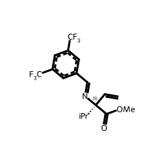 C=C[C@](N=Cc1cc(C(F)(F)F)cc(C(F)(F)F)c1)(C(=O)OC)C(C)C